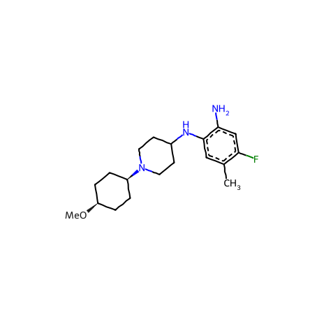 CO[C@H]1CC[C@@H](N2CCC(Nc3cc(C)c(F)cc3N)CC2)CC1